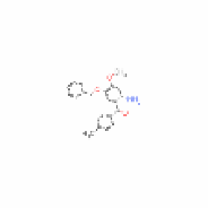 COc1cc(N)c(C(=O)c2ccc(C)cc2)cc1OCc1ccccc1